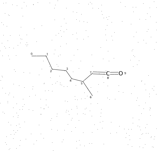 CCCCCC(C)C=C=O